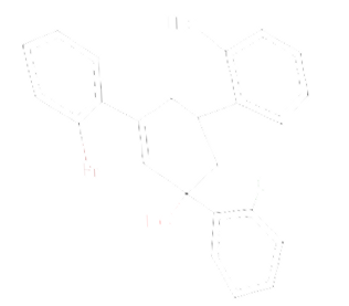 Cc1ccccc1C1CC(c2ccccc2Br)=CC(O)(c2ccccc2Cl)C1